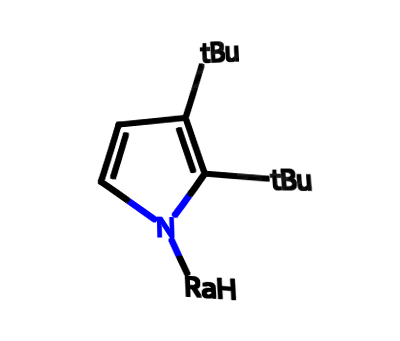 CC(C)(C)c1cc[n]([RaH])c1C(C)(C)C